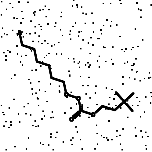 C[N+](C)(C)CCO[PH](=O)OOCCCCCCBr